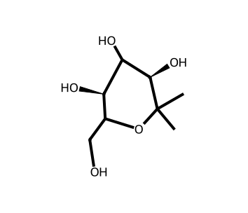 CC1(C)OC(CO)[C@@H](O)C(O)[C@H]1O